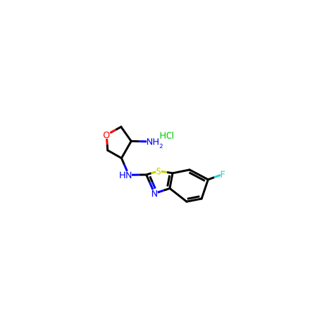 Cl.NC1COCC1Nc1nc2ccc(F)cc2s1